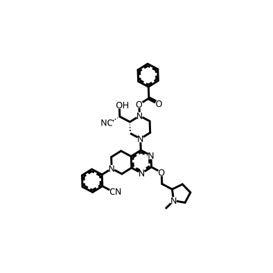 CN1CCCC1COc1nc2c(c(N3CCN(OC(=O)c4ccccc4)[C@@H]([C@@H](O)C#N)C3)n1)CCN(c1ccccc1C#N)C2